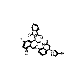 CC[C@@H](c1cc(F)cc(Cl)c1COc1cccc2c(-n3cc(F)cn3)cc(C)nc12)N1C(=O)c2ccccc2C1=O